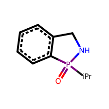 CC(C)P1(=O)NCc2ccccc21